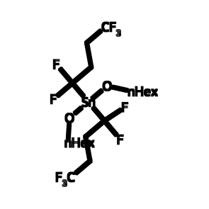 CCCCCC[O][Sn]([O]CCCCCC)([C](F)(F)CCC(F)(F)F)[C](F)(F)CCC(F)(F)F